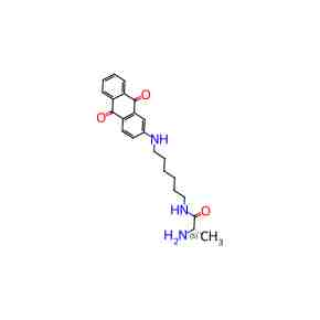 C[C@H](N)C(=O)NCCCCCCNc1ccc2c(c1)C(=O)c1ccccc1C2=O